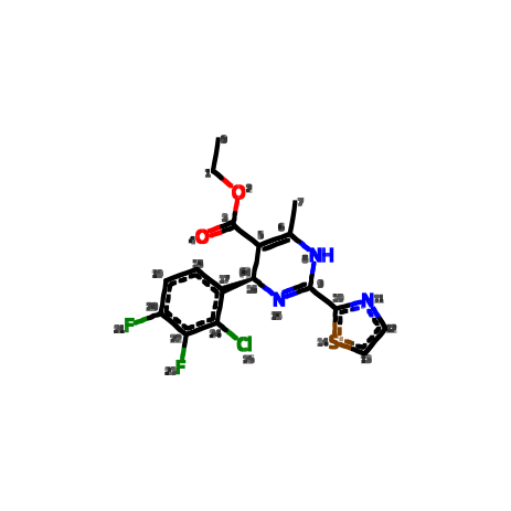 CCOC(=O)C1=C(C)NC(c2nccs2)=N[C@H]1c1ccc(F)c(F)c1Cl